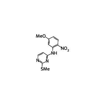 COc1ccc([N+](=O)[O-])c(Nc2ccnc(SC)n2)c1